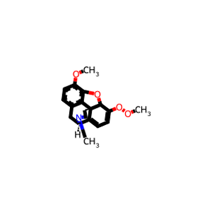 COOC1=CC=C2[C@H]3Cc4ccc(OC)c5c4[C@@]2(CCN3C)C1O5